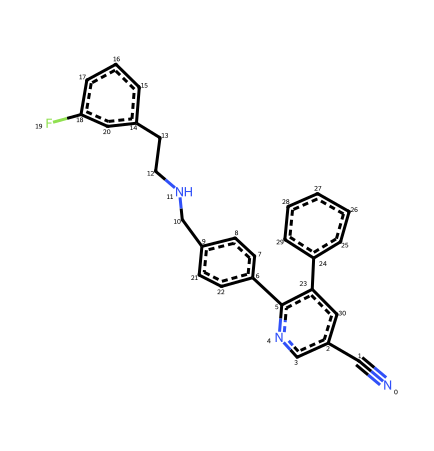 N#Cc1cnc(-c2ccc(CNCCc3cccc(F)c3)cc2)c(-c2ccccc2)c1